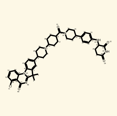 CC1(C)c2cc(C3CCN(C4CCC(C(=O)N5CCC(c6ccc(NC7CCC(=O)NC7=O)cc6)CC5)CC4)CC3)ccc2-n2c1nc(=O)c1c(Cl)cccc12